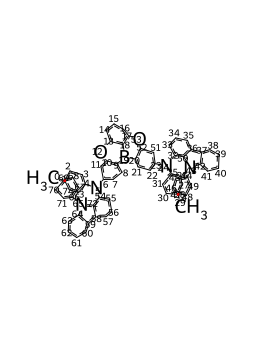 Cc1ccc(N(c2ccc3c(c2)Oc2cccc4c2B3c2ccc(N(c3ccc(C)cc3)c3cccc5c6ccccc6n(-c6ccccc6)c35)cc2O4)c2cccc3c4ccccc4n(-c4ccccc4)c23)cc1